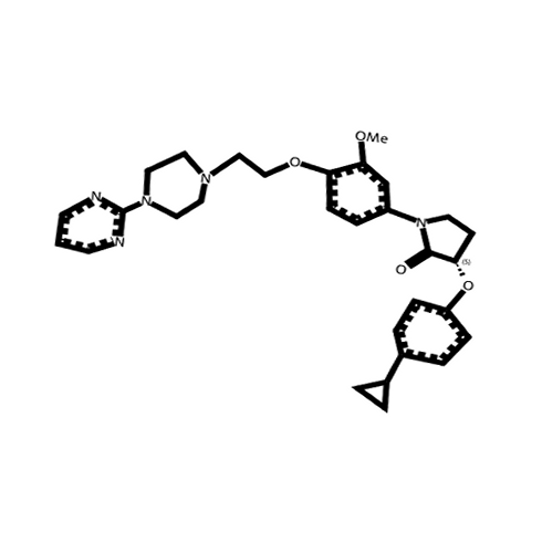 COc1cc(N2CC[C@H](Oc3ccc(C4CC4)cc3)C2=O)ccc1OCCN1CCN(c2ncccn2)CC1